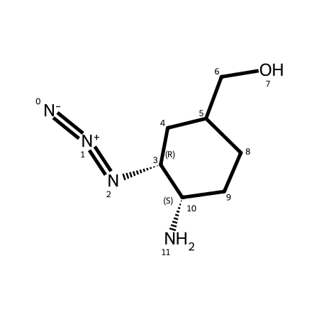 [N-]=[N+]=N[C@@H]1CC(CO)CC[C@@H]1N